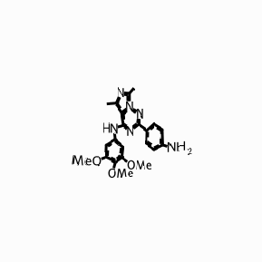 COc1cc(Nc2nc(-c3ccc(N)cc3)nn3c(C)nc(C)c23)cc(OC)c1OC